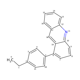 CCc1ccc(-c2cccc3nc4ccccc4cc23)cc1